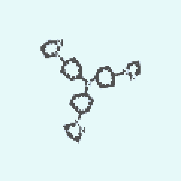 c1cnn(-c2ccc(N(c3ccc(-n4cccn4)cc3)c3ccc(-n4cccn4)cc3)cc2)c1